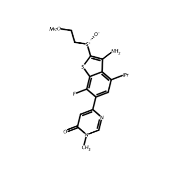 COCC[S@+]([O-])c1sc2c(F)c(-c3cc(=O)n(C)cn3)cc(C(C)C)c2c1N